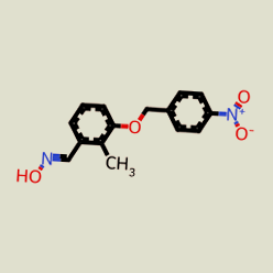 Cc1c(C=NO)cccc1OCc1ccc([N+](=O)[O-])cc1